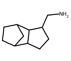 NCC1CCC2C3CCC(C3)C12